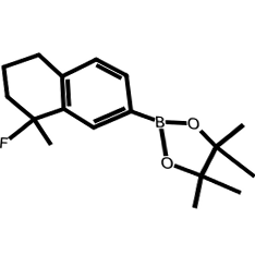 CC1(F)CCCc2ccc(B3OC(C)(C)C(C)(C)O3)cc21